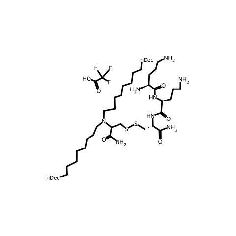 CCCCCCCCCCCCCCCCCCN(CCCCCCCCCCCCCCCCCC)C(CSSC[C@H](NC(=O)[C@H](CCCN)NC(=O)[C@@H](N)CCCN)C(N)=O)C(N)=O.O=C(O)C(F)(F)F